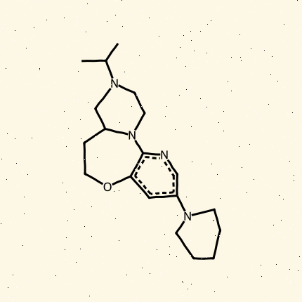 CC(C)N1CCN2c3ncc(N4CCCCC4)cc3OCCC2C1